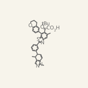 Cc1cc2nc(-c3cccc(C4C=Cc5c(cnn5C)C4C)c3)sc2c(-c2ccc3c(c2)CCCO3)c1[C@H](OC(C)(C)C)C(=O)O